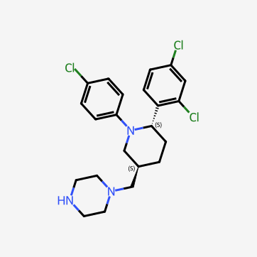 Clc1ccc(N2C[C@H](CN3CCNCC3)CC[C@H]2c2ccc(Cl)cc2Cl)cc1